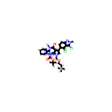 Cn1nc2ccc(-c3cn(COCC[Si](C)(C)C)c4nc(N5C6CCC5[C@H](NC(=O)OC(C)(C)C)C6)n(C)c(=O)c34)c(Cl)c2c1Cl